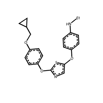 CCNc1ccc(Oc2cnc(Oc3ccc(OCC4CC4)cc3)s2)cc1